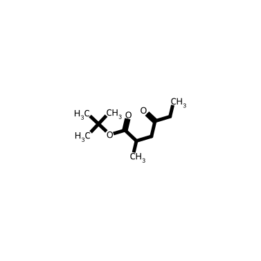 CCC(=O)CC(C)C(=O)OC(C)(C)C